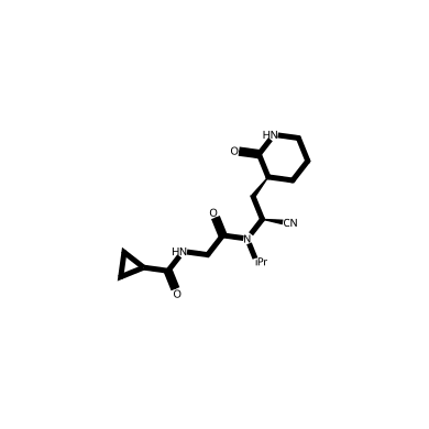 CC(C)N(C(=O)CNC(=O)C1CC1)[C@H](C#N)C[C@@H]1CCCNC1=O